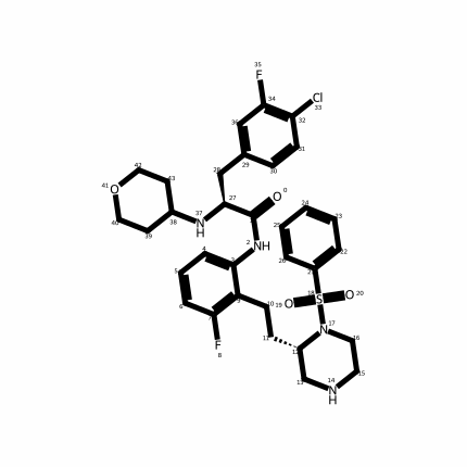 O=C(Nc1cccc(F)c1CC[C@H]1CNCCN1S(=O)(=O)c1ccccc1)[C@H](Cc1ccc(Cl)c(F)c1)NC1CCOCC1